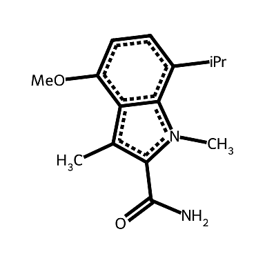 COc1ccc(C(C)C)c2c1c(C)c(C(N)=O)n2C